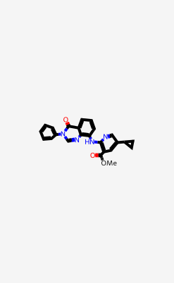 COC(=O)c1cc(C2CC2)cnc1Nc1cccc2c(=O)n(-c3ccccc3)cnc12